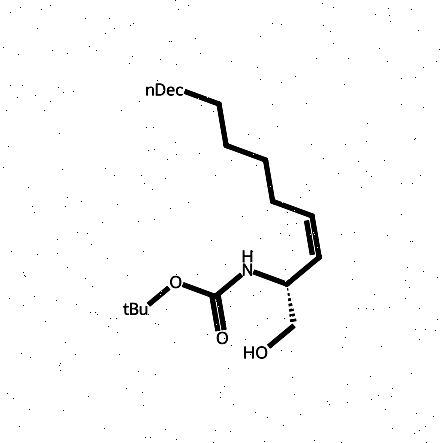 CCCCCCCCCCCCCC/C=C\[C@H](CO)NC(=O)OC(C)(C)C